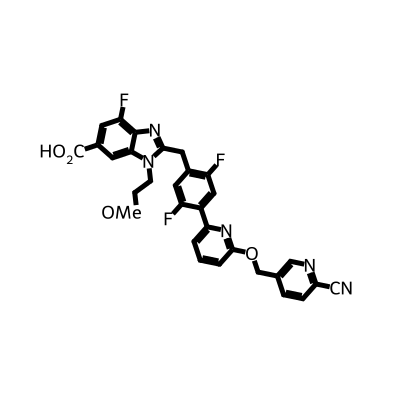 COCCn1c(Cc2cc(F)c(-c3cccc(OCc4ccc(C#N)nc4)n3)cc2F)nc2c(F)cc(C(=O)O)cc21